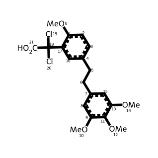 COc1ccc(CCc2cc(OC)c(OC)c(OC)c2)cc1C(Cl)(Cl)C(=O)O